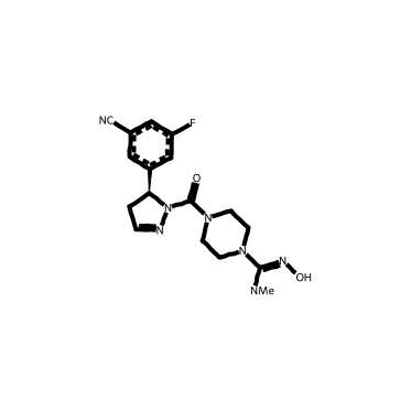 CN/C(=N\O)N1CCN(C(=O)N2N=CC[C@H]2c2cc(F)cc(C#N)c2)CC1